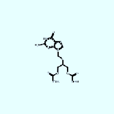 CCCCCC(=O)OCC(COC(=O)CCCCC)OCn1cnc2c(=O)[nH]c(N)nc21